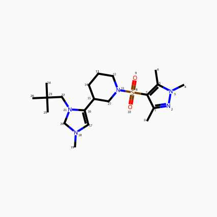 Cc1nn(C)c(C)c1S(=O)(=O)N1CCCC(C2=CN(C)CN2CC(C)(C)C)C1